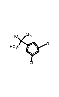 O=C(O)C(O)(c1cc(Cl)cc(Cl)c1)C(F)(F)F